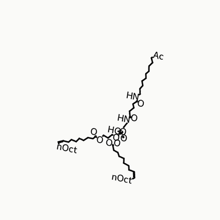 CCCCCCCC/C=C\CCCCCCCC(=O)OCC(COP(=O)(O)OCCNC(=O)CCCC(=O)NCCCCCCCCCCC(C)=O)OC(=O)CCCCCCC/C=C\CCCCCCCC